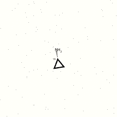 N[C@H]1[CH]C1